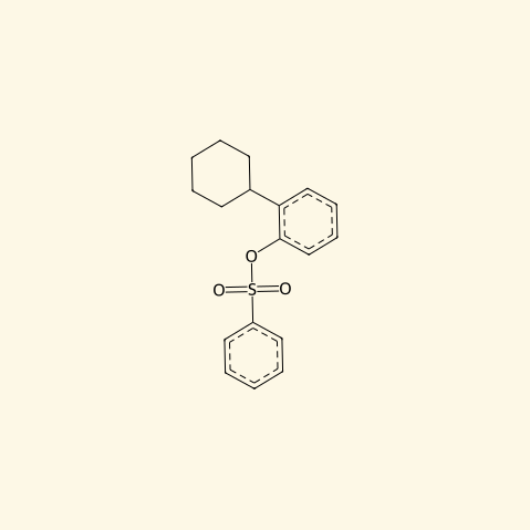 O=S(=O)(Oc1ccccc1C1CCCCC1)c1ccccc1